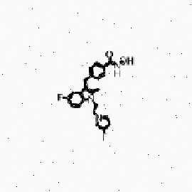 Cc1c(Cc2ccc(C(=O)NO)cc2)c2cc(F)ccc2n1CCN1CCC(F)C1